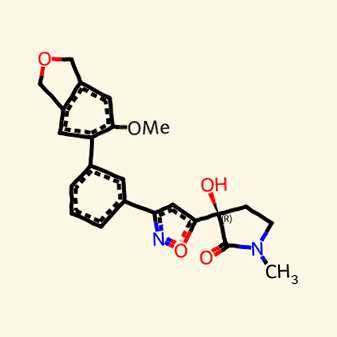 COc1cc2c(cc1-c1cccc(-c3cc([C@]4(O)CCN(C)C4=O)on3)c1)COC2